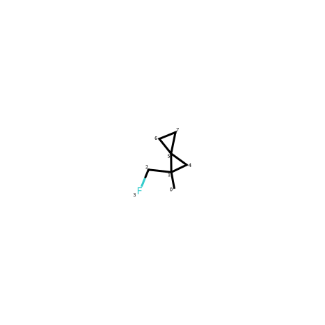 CC1(CF)CC12CC2